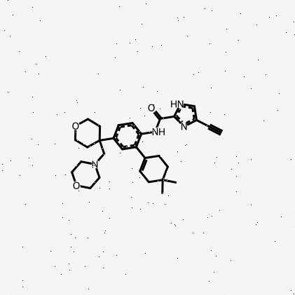 C#Cc1c[nH]c(C(=O)Nc2ccc(C3(CN4CCOCC4)CCOCC3)cc2C2=CCC(C)(C)CC2)n1